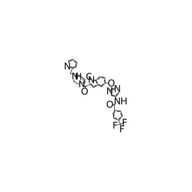 Cn1c(C(=O)N2CCN(Cc3ccccn3)CC2)cc2cc(Oc3ncc(NC(=O)c4ccc(C(F)(F)F)cc4)cn3)ccc21